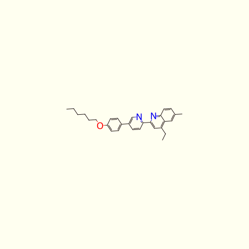 CCCCCCOc1ccc(-c2ccc(-c3cc(CC)c4cc(C)ccc4n3)nc2)cc1